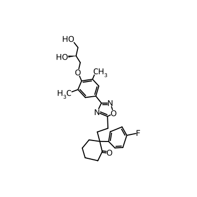 Cc1cc(-c2noc(CCC3(c4ccc(F)cc4)CCCCC3=O)n2)cc(C)c1OC[C@@H](O)CO